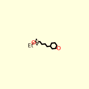 CCO[Si](C)(C)CCCCC1CCC2OC2C1